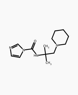 CC(C)(CN1CCCCC1)NC(=O)n1ccnc1